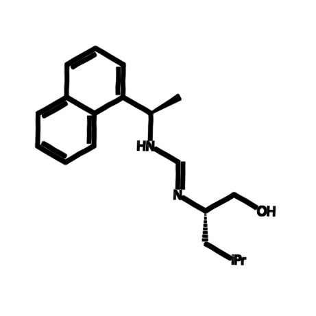 CC(C)C[C@@H](CO)/N=C/N[C@H](C)c1cccc2ccccc12